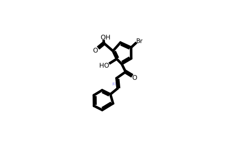 O=C(O)c1cc(Br)cc(C(=O)/C=C/c2ccccc2)c1O